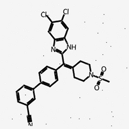 CS(=O)(=O)N1CCC(=C(c2ccc(-c3cccc(C#N)c3)cc2)c2nc3cc(Cl)c(Cl)cc3[nH]2)CC1